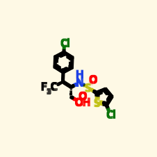 O=S(=O)(N[C@H](CO)[C@H](c1ccc(Cl)cc1)C(F)(F)F)c1ccc(Cl)s1